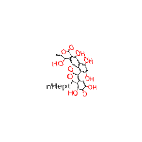 C=C1OC(=O)c2c(cc3c(C4=C5C=C(O)C(=O)C(O)=C5[C@@H](CCCCCCC)OC4=O)c(O)cc(O)c3c2O)[C@H]1O